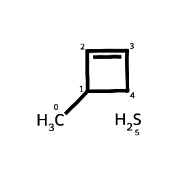 CC1C=CC1.S